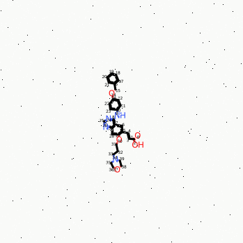 O=C(O)C=Cc1cc2c(Nc3ccc(OCc4ccccc4)cc3)ncnc2cc1OCCCN1CCOCC1